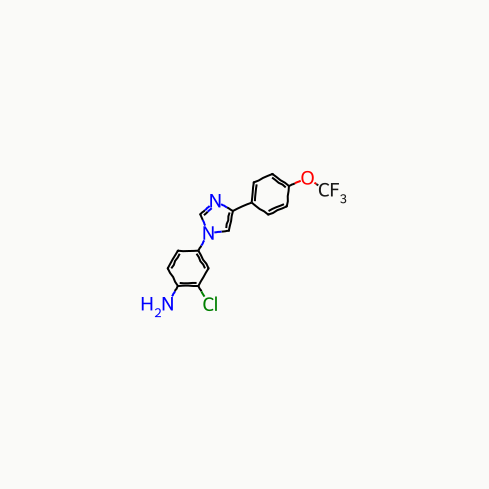 Nc1ccc(-n2cnc(-c3ccc(OC(F)(F)F)cc3)c2)cc1Cl